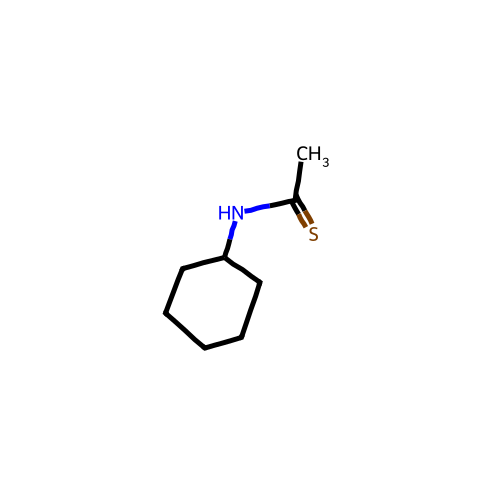 CC(=S)NC1CCCCC1